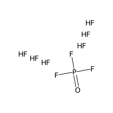 F.F.F.F.F.F.O=P(F)(F)F